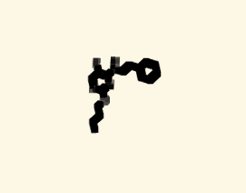 CCCCOc1ncc(F)c(NC=Cc2ccccc2)n1